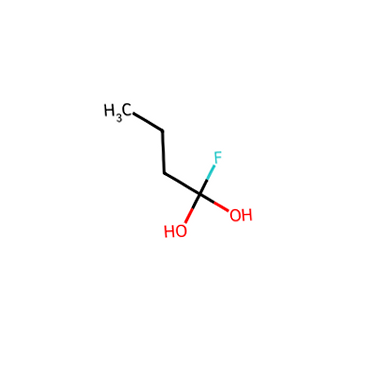 CCCC(O)(O)F